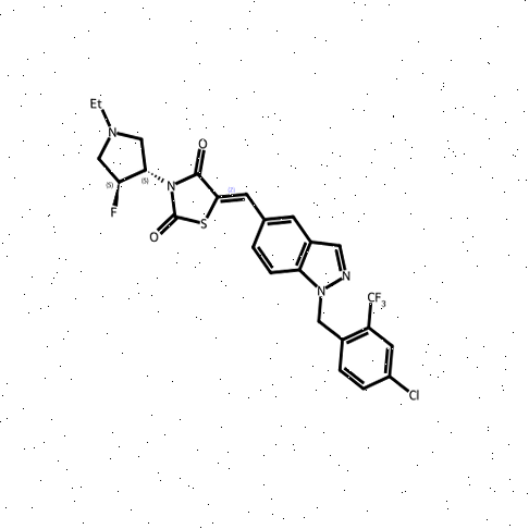 CCN1C[C@H](F)[C@@H](N2C(=O)S/C(=C\c3ccc4c(cnn4Cc4ccc(Cl)cc4C(F)(F)F)c3)C2=O)C1